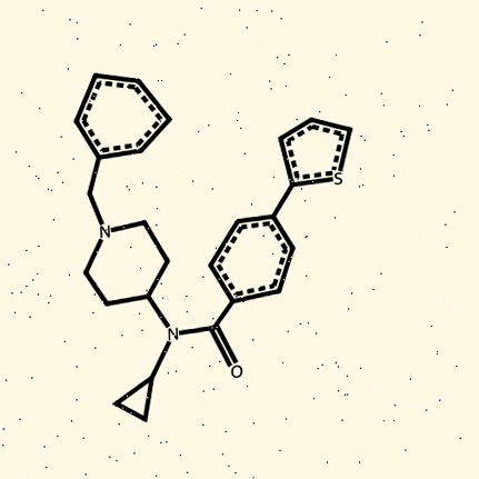 O=C(c1ccc(-c2cccs2)cc1)N(C1CC1)C1CCN(Cc2ccccc2)CC1